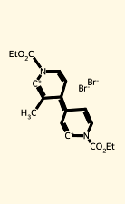 CCOC(=O)N1[C+]=CC(=C2C=CN(C(=O)OCC)[C+]=C2C)C=C1.[Br-].[Br-]